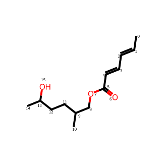 C/C=C/C=C/C(=O)OCC(C)CCC(C)O